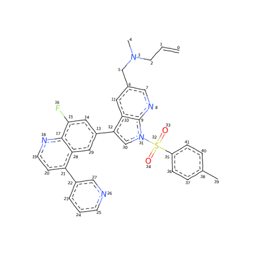 C=CCN(C)Cc1cnc2c(c1)c(-c1cc(F)c3nccc(-c4cccnc4)c3c1)cn2S(=O)(=O)c1ccc(C)cc1